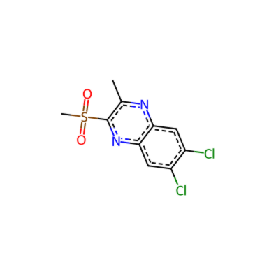 Cc1nc2cc(Cl)c(Cl)cc2nc1S(C)(=O)=O